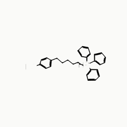 Cc1ccc(CCCCCC[PH](c2ccccc2)(c2ccccc2)c2ccccc2)cc1